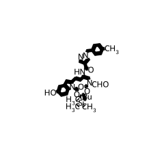 Cc1ccc(Cn2cc(C(=O)NC(/C=C/c3cc4cc(O)ccc4n3C(=O)OC(C)(C)C)=C/N(C=O)COCC[Si](C)(C)C)cn2)cc1